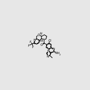 Cc1ncn2c1c(N)nc1cc(Cl)c(C(=O)N3CCC[C@@H]4OCc5nc(C(F)(F)F)ccc5[C@@H]43)cc12